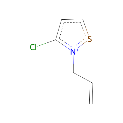 C=CC[n+]1sccc1Cl